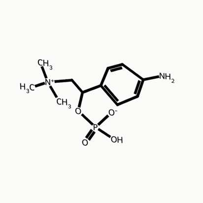 C[N+](C)(C)CC(OP(=O)([O-])O)c1ccc(N)cc1